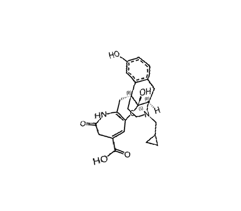 O=C1CC(C(=O)O)=CC2=C(C[C@]34CCN(CC5CC5)[C@H](Cc5ccc(O)cc53)[C@]4(O)C2)N1